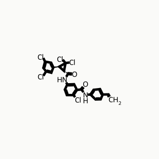 C=Cc1ccc(NC(=O)c2cc(NC(=O)[C@@H]3[C@@H](c4cc(Cl)cc(Cl)c4)C3(Cl)Cl)ccc2Cl)cc1